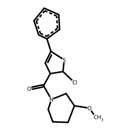 COC1CCCN(C(=O)C2C=C(c3ccccc3)SC2Cl)C1